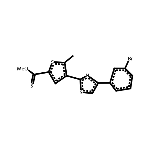 COC(=S)c1cc(-c2nc(-c3cccc(Br)c3)cs2)c(C)s1